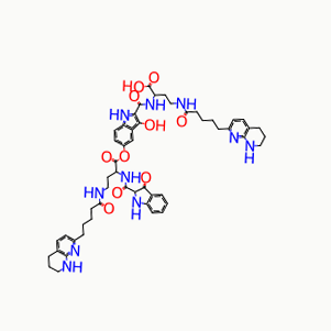 O=C(CCCCc1ccc2c(n1)NCCC2)NCCC(NC(=O)c1[nH]c2ccc(OC(=O)C(CCNC(=O)CCCCc3ccc4c(n3)NCCC4)NC(=O)C3Nc4ccccc4C3=O)cc2c1O)C(=O)O